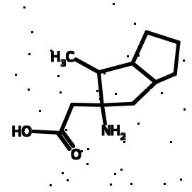 CC1C2CCCC2CC1(N)CC(=O)O